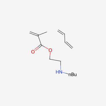 C=C(C)C(=O)OCCNCCCC.C=CC=C